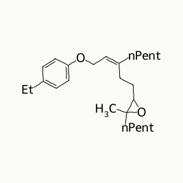 CCCCCC(=CCOc1ccc(CC)cc1)CCC1OC1(C)CCCCC